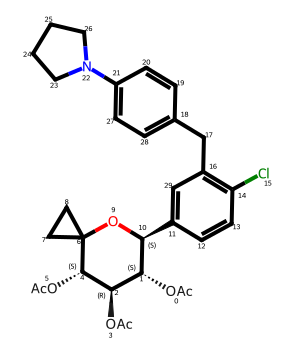 CC(=O)O[C@@H]1[C@@H](OC(C)=O)[C@H](OC(C)=O)C2(CC2)O[C@H]1c1ccc(Cl)c(Cc2ccc(N3CCCC3)cc2)c1